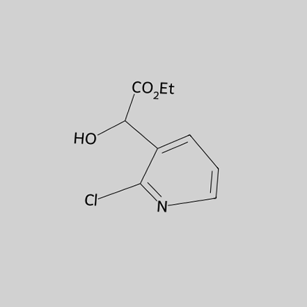 CCOC(=O)C(O)c1cccnc1Cl